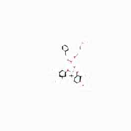 COCCOCC(=O)OC(OC(=O)N(C(=O)c1cccc(OC)c1C)N(C(=O)c1cc(C)cc(C)c1)C(C)(C)C)C(=O)OCc1ccccc1